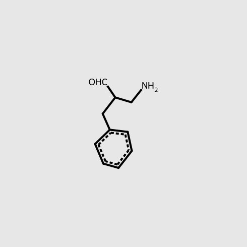 NCC(C=O)Cc1ccccc1